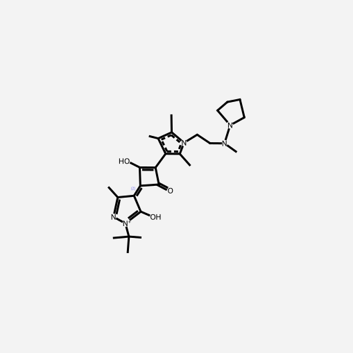 CC1=N[N+](C(C)(C)C)=C(O)/C1=C1\C(=O)C(c2c(C)c(C)n(CCN(C)N3CCCC3)c2C)=C1O